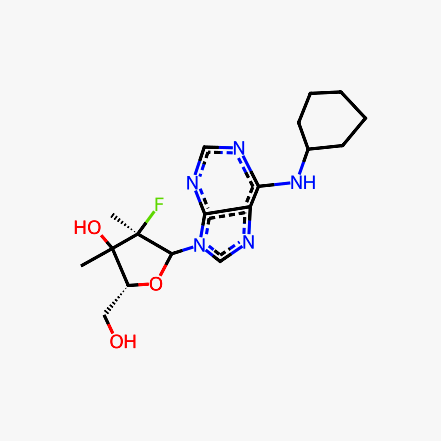 CC1(O)[C@@H](CO)OC(n2cnc3c(NC4CCCCC4)ncnc32)[C@]1(C)F